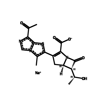 CC(=O)c1ncn2c(C)c(C3=C(C(=O)[O-])N4C(=O)[C@H]([C@@H](C)O)[C@H]4C3)sc12.[Na+]